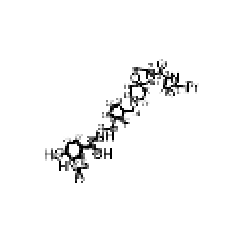 CC(C)c1nc(C(=O)N2CCOC3(CCN(Cc4cccc(CCNC[C@H](O)c5ccc(O)c6[nH]c(=O)sc56)c4F)CC3)C2)cs1